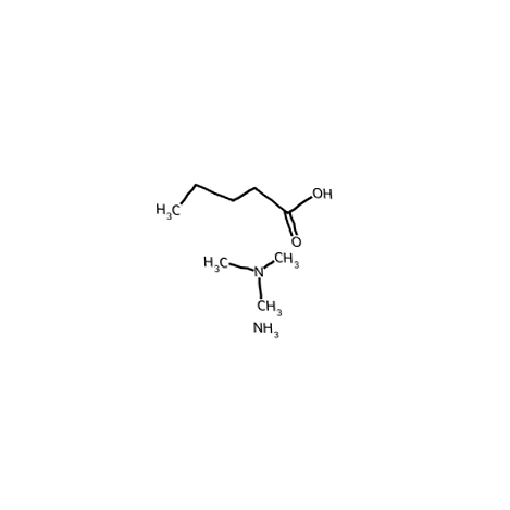 CCCCC(=O)O.CN(C)C.N